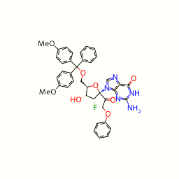 COc1ccc(C(OC[C@H]2O[C@@](C(=O)COc3ccccc3)(n3cnc4c(=O)[nH]c(N)nc43)[C@H](F)[C@@H]2O)(c2ccccc2)c2ccc(OC)cc2)cc1